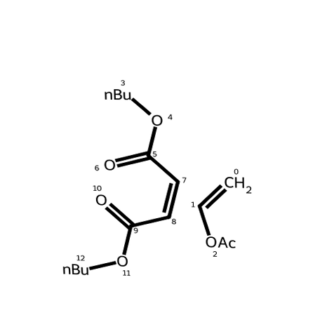 C=COC(C)=O.CCCCOC(=O)/C=C\C(=O)OCCCC